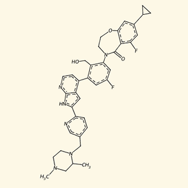 CC1CN(C)CCN1Cc1ccc(-c2cc3c(-c4cc(F)cc(N5CCOc6cc(C7CC7)cc(F)c6C5=O)c4CO)ccnc3[nH]2)nc1